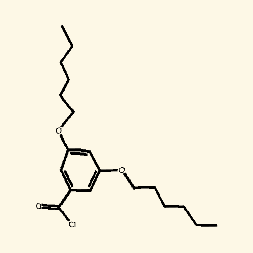 CCCCCCOc1cc(OCCCCCC)cc(C(=O)Cl)c1